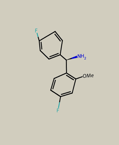 COc1cc(F)ccc1[C@H](N)c1ccc(F)cc1